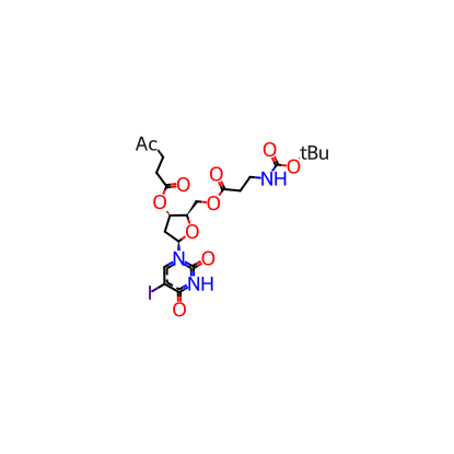 CC(=O)CCC(=O)O[C@H]1C[C@H](n2cc(I)c(=O)[nH]c2=O)O[C@@H]1COC(=O)CCNC(=O)OC(C)(C)C